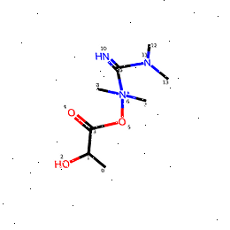 CC(O)C(=O)O[N+](C)(C)C(=N)N(C)C